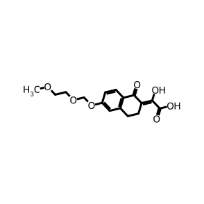 COCCOCOc1ccc2c(c1)CCC(=C(O)C(=O)O)C2=O